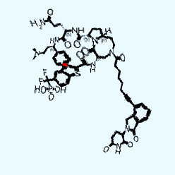 CN(C)CC[C@@H](NC(=O)[C@H](CCC(N)=O)NC(=O)[C@@H]1CC[C@@H]2CCN(C(=O)CCCCCC#Cc3cccc4c3CN(C3CCC(=O)NC3=O)C4=O)C[C@H](NC(=O)c3cc4cc(C(F)(F)P(=O)(O)O)ccc4s3)C(=O)N21)c1ccccc1